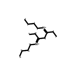 CCCC/N=C(/CC)C/C(CC)=N/CCCC